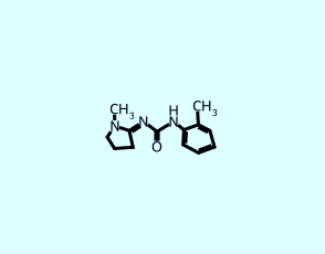 Cc1ccccc1NC(=O)N=C1CCCN1C